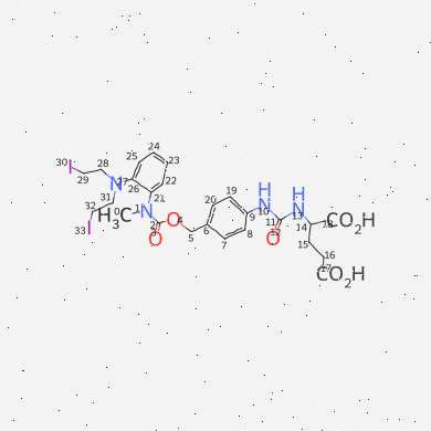 CN(C(=O)OCc1ccc(NC(=O)NC(CCC(=O)O)C(=O)O)cc1)c1ccccc1N(CCI)CCI